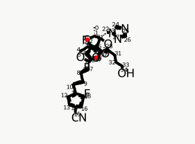 C[C@@H](S[C@H]1CO[C@H](/C=C/C=C/c2ccc(C#N)cc2F)OC1)[C@@](Cn1cncn1)(OC(=O)CCCO)c1ccc(F)cc1F